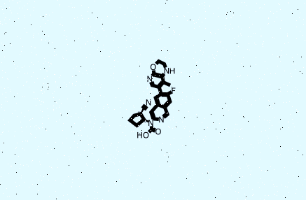 Cc1c(-c2cc3cc(N(C(=O)O)[C@H]4CCC[C@H]4C#N)ncc3cc2F)cnc2c1NCCO2